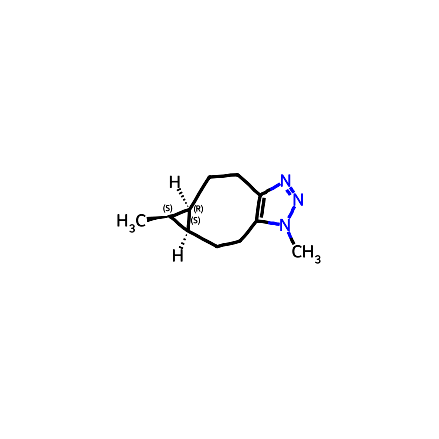 C[C@H]1[C@H]2CCc3nnn(C)c3CC[C@@H]12